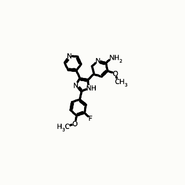 COC1=CC(c2[nH]c(-c3ccc(OC)c(F)c3)nc2-c2ccncc2)CN=C1N